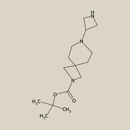 CC(C)(C)OC(=O)N1CC2(CCN(C3CNC3)CC2)C1